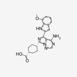 COc1cccc2cc(-c3nc([C@H]4CC[C@@H](C(=O)O)CC4)n4ncnc(N)c34)[nH]c12